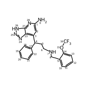 Nc1cc(C(CCNCc2ccccc2OC(F)(F)F)c2ccccc2)c2nn[nH]c2n1